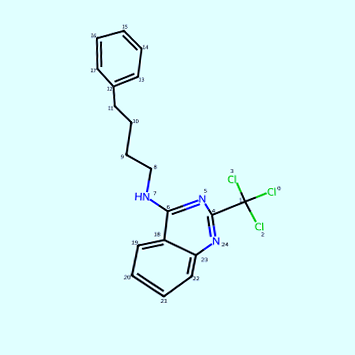 ClC(Cl)(Cl)c1nc(NCCCCc2ccccc2)c2ccccc2n1